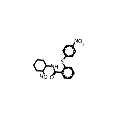 O=C(NC1CCCCC1O)c1ccccc1Sc1ccc([N+](=O)[O-])cc1